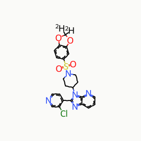 [2H]C1([2H])Oc2ccc(S(=O)(=O)N3CCC(n4c(-c5ccncc5Cl)nc5cccnc54)CC3)cc2O1